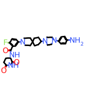 Nc1ccc(N2CCN(C3CCC4(CC3)CCN(c3ccc(F)c(C(=O)NC5CCC(=O)NC5=O)c3)CC4)CC2)cc1